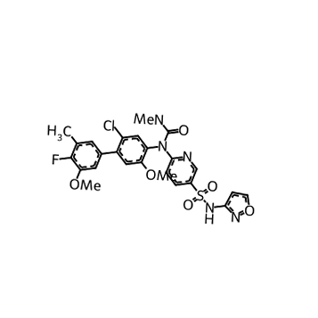 CNC(=O)N(c1ccc(S(=O)(=O)Nc2ccon2)cn1)c1cc(Cl)c(-c2cc(C)c(F)c(OC)c2)cc1OC